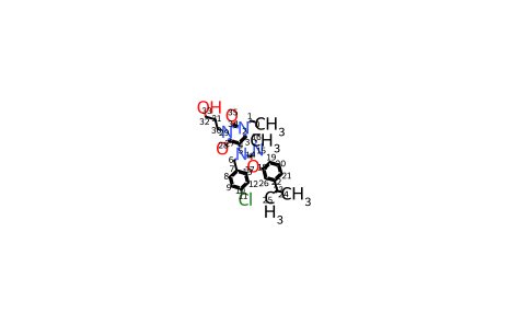 CCn1cc(N(Cc2ccc(Cl)cc2)/C(=N\C)Oc2cccc(C(C)C)c2)c(=O)n(CCCO)c1=O